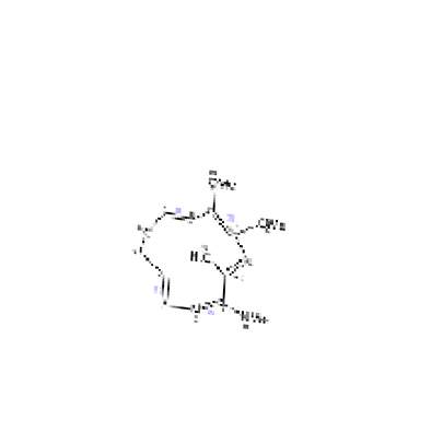 CNC1=N/C=C/CC/C=C/C(OC)=C(OC)\C=C\1C